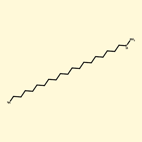 [2H]CCCCCCCCCCCCCCCCCCCPP